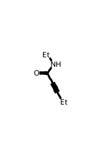 CCC#CC(=O)NCC